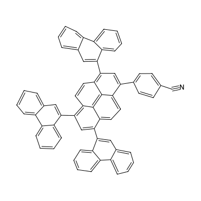 N#Cc1ccc(-c2cc(-c3cc4ccccc4c4ccccc34)c3ccc4c(-c5cc6ccccc6c6ccccc56)cc(-c5cc6ccccc6c6ccccc56)c5ccc2c3c54)cc1